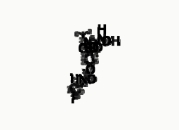 CC(C)CN(CC(=O)NO)S(=O)(=O)c1ccc(OCC(=O)NCc2cccc(F)c2)cc1